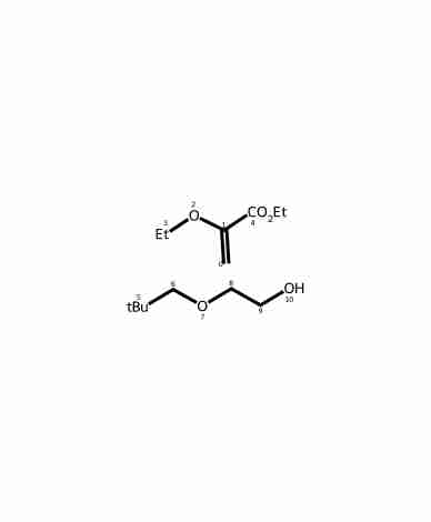 C=C(OCC)C(=O)OCC.CC(C)(C)COCCO